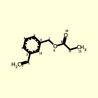 C=Cc1cccc(COC(=O)CC)c1